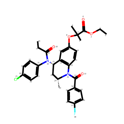 CCOC(=O)C(C)(C)Oc1ccc2c(c1)[C@@H](N(C(=O)CC)c1ccc(Cl)cc1)C[C@@H](C)N2C(=O)c1ccc(F)cc1